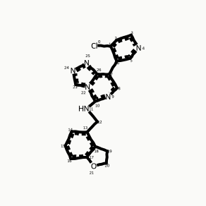 Clc1ccncc1-c1cnc(NCc2cccc3c2CCO3)n2cnnc12